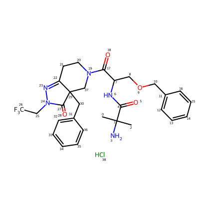 CC(C)(N)C(=O)NC(COCc1ccccc1)C(=O)N1CCC2=NN(CC(F)(F)F)C(=O)C2(Cc2ccccc2)C1.Cl